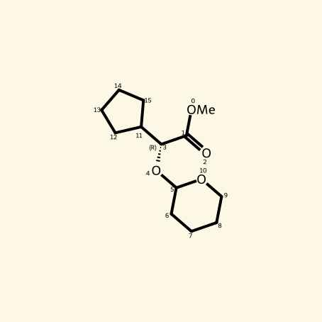 COC(=O)[C@H](OC1CCCCO1)C1CCCC1